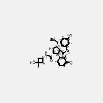 CC(C)(C)C[C@@H]1N[C@@H](C(=O)N[C@H]2C[C@@](C)(O)C2)[C@H](C2C=CC=C(Cl)C2F)[C@]12C(=O)Nc1cc(Cl)ccc12